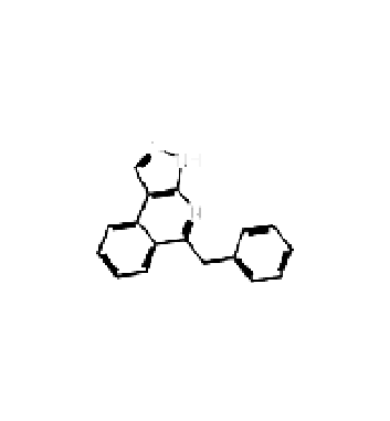 c1ccc(Cc2nc3[nH]ncc3c3ccccc23)cc1